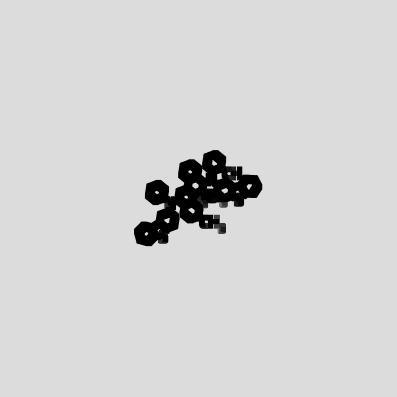 CC1C=Cc2c(N(C3=CC4c5ccccc5SC4C=C3)c3ccccc3)cc3c(c2C1)C(C)C(N(C1=CC2C(CC1C)SC1C=CC=CC12)C1C=CC=CC1C)c1ccccc1-3